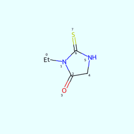 CCN1C(=O)CNC1=S